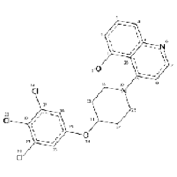 [O]c1cccc2nccc(N3CCC(Oc4cc(Cl)c(Cl)c(Cl)c4)CC3)c12